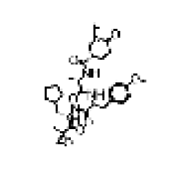 COc1ccc(C[C@H](NC(=O)[C@@H](C)NC(=O)[C@@H]2CCC(=O)NC2)C(=O)N[C@@H](CC2CCCC2)C(=O)[C@@]2(C)CO2)cc1